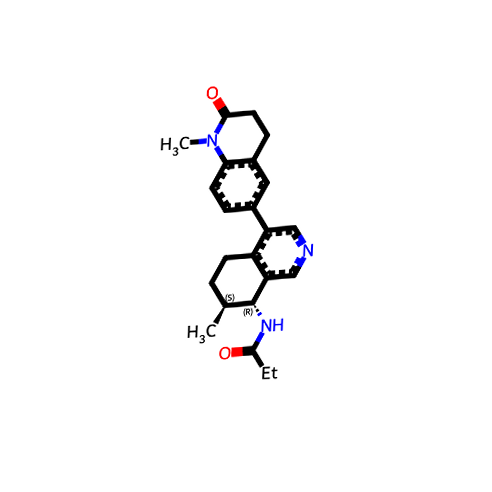 CCC(=O)N[C@H]1c2cncc(-c3ccc4c(c3)CCC(=O)N4C)c2CC[C@@H]1C